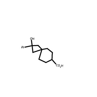 CC(C)C1(O)CC2(CCC(C(=O)O)CC2)C1